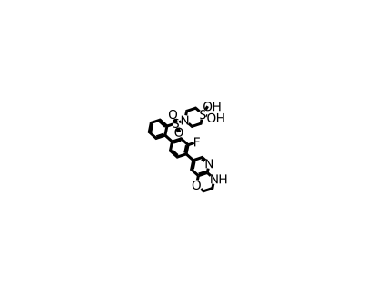 O=S(=O)(c1ccccc1-c1ccc(-c2cnc3c(c2)OCCN3)c(F)c1)N1CCS(O)(O)CC1